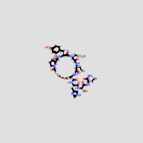 CCC(C)[C@H](NC(=O)[C@H](Cc1c[nH]cn1)NC(=O)[C@@H]1CSSCCC(=O)N2CCC[C@H]2C(=O)N[C@@H](CC2C=CC(O)=CC2)C(=O)N[C@@H](CC(=O)O)C(=O)N[C@@H](CC(C)C)C(=O)N1)C(=O)N[C@@H](CC(C)C)C(N)=O